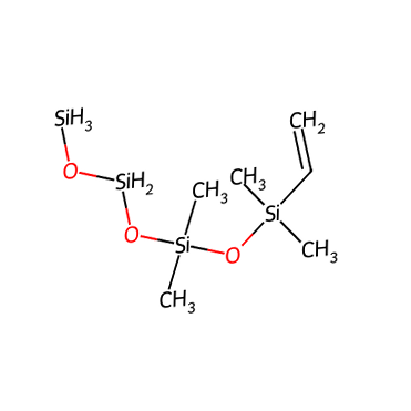 C=C[Si](C)(C)O[Si](C)(C)O[SiH2]O[SiH3]